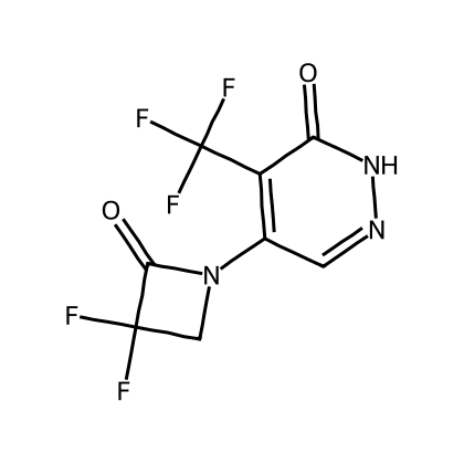 O=C1N(c2cn[nH]c(=O)c2C(F)(F)F)CC1(F)F